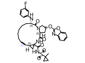 CC1(S(=O)(=O)NC(=O)[C@@]23C[C@H]2/C=C\CCCCC[C@H](Nc2cccc(F)c2)C(=O)N2C[C@H](Oc4nc5ccccc5o4)C[C@H]2C(=O)N3)CC1